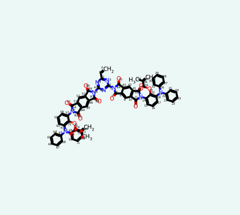 C=Cc1nc(-n2c(=O)c3cc4c(=O)n(-c5cccc(N(c6ccccc6)c6ccccc6)c5OC(=O)C(=C)C)c(=O)c4cc3c2=O)nc(-n2c(=O)c3cc4c(=O)n(-c5cccc(N(c6ccccc6)c6ccccc6)c5OC(=O)C(=C)C)c(=O)c4cc3c2=O)n1